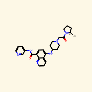 N#C[C@@H]1CCCN1C(=O)CN1CCC(Nc2ccc(C(=O)Nc3cccnc3)c3ncccc23)CC1